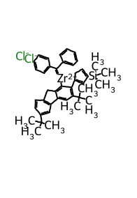 CC(C)(C)c1ccc2c(c1)-c1cc(C(C)(C)C)c(C3=CC([Si](C)(C)C)=CC3)[c]([Zr+2]=[C](c3ccccc3)c3ccccc3)c1C2.[Cl-].[Cl-]